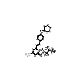 Cc1cc(C=Cc2ccc(OC3CCCCC3)cc2)n(OS(=O)(=O)C(F)(F)C(F)C(F)(F)F)c(=O)c1